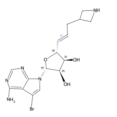 Nc1ncnc2c1c(Br)cn2[C@@H]1O[C@H](/C=C/CC2CNC2)[C@@H](O)[C@H]1O